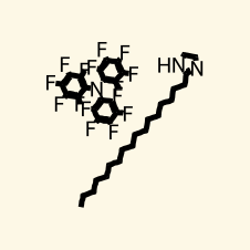 CCCCCCCCCCCCCCCCCC1=NCCN1.Fc1c(F)c(F)c(N(c2c(F)c(F)c(F)c(F)c2F)c2c(F)c(F)c(F)c(F)c2F)c(F)c1F